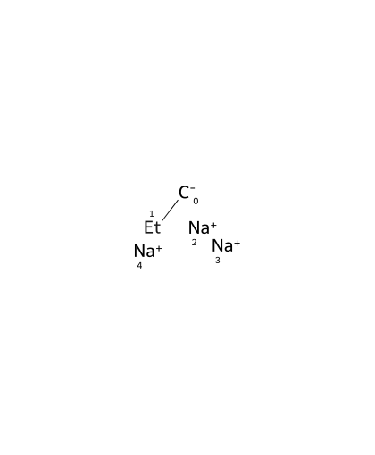 [CH2-][CH-][CH2-].[Na+].[Na+].[Na+]